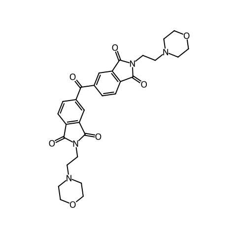 O=C(c1ccc2c(c1)C(=O)N(CCN1CCOCC1)C2=O)c1ccc2c(c1)C(=O)N(CCN1CCOCC1)C2=O